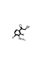 CC(=O)Nc1c(F)ccc(C(=O)CBr)c1F